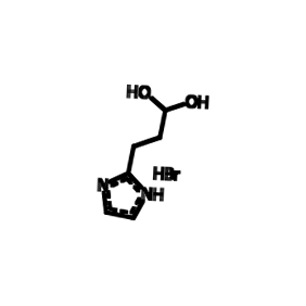 Br.OC(O)CCc1ncc[nH]1